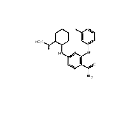 Cc1cccc(Nc2nc(NC3CCCCC3NC(=O)O)ccc2C(N)=O)c1